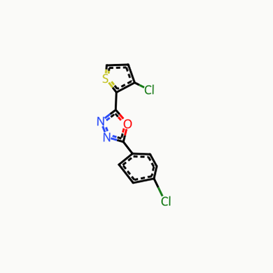 Clc1ccc(-c2nnc(-c3sccc3Cl)o2)cc1